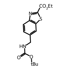 CCOC(=O)c1nc2ccc(CNC(=O)OC(C)(C)C)cc2s1